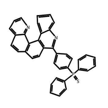 S=P(c1ccccc1)(c1ccccc1)c1ccc(-c2nc3ccccc3c3c2ccc2ccc4cccnc4c23)cc1